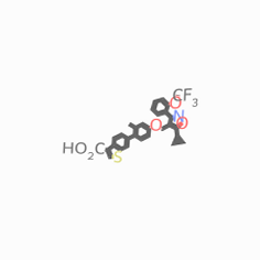 Cc1cc(OCc2c(-c3ccccc3OC(F)(F)F)noc2C2CC2)ccc1-c1ccc2c(C(=O)O)csc2c1